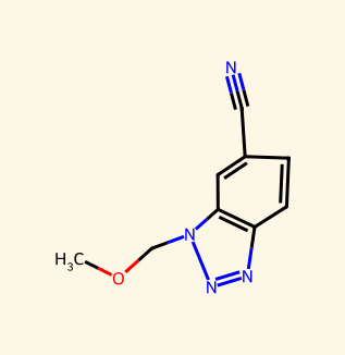 COCn1nnc2ccc(C#N)cc21